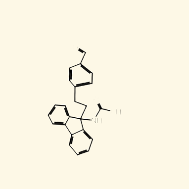 CC(=O)NC1(CCc2ccc(C=O)cc2)c2ccccc2-c2ccccc21